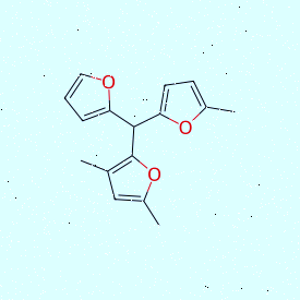 Cc1ccc(C(c2ccco2)c2oc(C)cc2C)o1